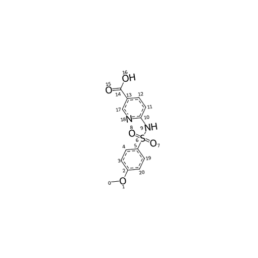 COc1ccc(S(=O)(=O)Nc2ccc(C(=O)O)cn2)cc1